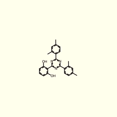 Cc1ccc(-c2nc(-c3ccc(C)cc3C)nc(-c3c(O)cccc3O)n2)c(C)c1